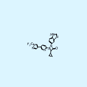 O=C1C(C2CC2)[C@@H](c2ccc(-c3cnn(C(F)(F)F)c3)cn2)N1c1ccc2[nH]cnc2c1